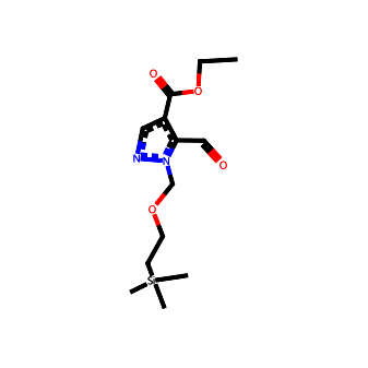 CCOC(=O)c1cnn(COCC[Si](C)(C)C)c1C=O